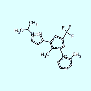 Cc1c(-c2ccn(C(C)C)n2)cc(C(F)(F)F)cc1-[n+]1ccccc1C